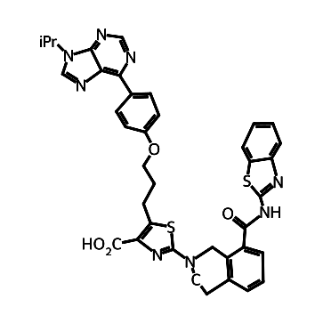 CC(C)n1cnc2c(-c3ccc(OCCCc4sc(N5CCc6cccc(C(=O)Nc7nc8ccccc8s7)c6C5)nc4C(=O)O)cc3)ncnc21